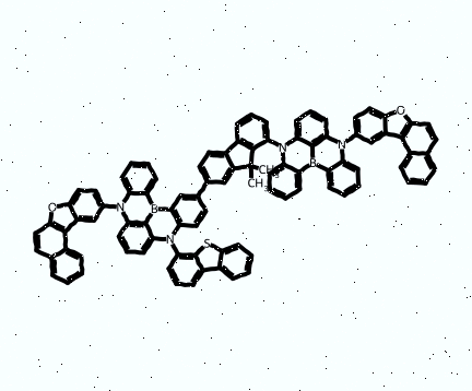 CC1(C)c2cc(-c3ccc4c(c3)B3c5ccccc5N(c5ccc6oc7ccc8ccccc8c7c6c5)c5cccc(c53)N4c3cccc4c3sc3ccccc34)ccc2-c2cccc(N3c4ccccc4B4c5ccccc5N(c5ccc6oc7ccc8ccccc8c7c6c5)c5cccc3c54)c21